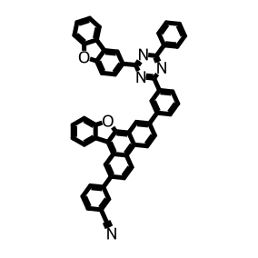 N#Cc1cccc(-c2ccc3c4ccc(-c5cccc(-c6nc(-c7ccccc7)nc(-c7ccc8oc9ccccc9c8c7)n6)c5)cc4c4oc5ccccc5c4c3c2)c1